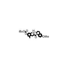 COc1ccc2c(c1)CCCN2C(=O)C(N)Cc1c(C)cc(OC(=O)OCC(C)C)cc1C